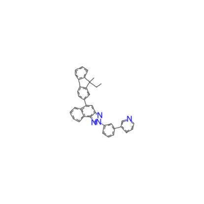 CCC1(C)c2ccccc2-c2ccc(-c3cc4nn(-c5cccc(-c6cccnc6)c5)nc4c4ccccc34)cc21